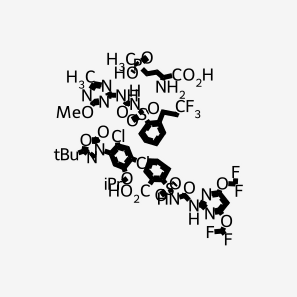 CC(C)Oc1cc(-n2nc(C(C)(C)C)oc2=O)c(Cl)cc1Cl.COc1nc(C)nc(NC(=O)NS(=O)(=O)c2ccccc2CCC(F)(F)F)n1.CP(=O)(O)CCC(N)C(=O)O.O=C(Nc1nc(OC(F)F)cc(OC(F)F)n1)NS(=O)(=O)c1ccccc1C(=O)O